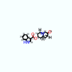 O=C(O[C@H]1C[C@@H]2C[C@H]3C[C@@H](C1)N2CC3=O)c1c[nH]c2ccccc12